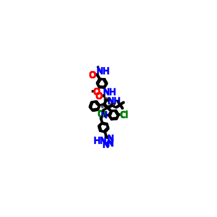 CNC(=O)c1ccc(NC(=O)[C@@H]2N[C@@H](CC(C)(C)C)[C@@]3(CN(Cc4ccc(-c5nnn[nH]5)cc4)c4ccc(Cl)cc43)[C@H]2c2ccccc2Cl)c(OC)c1